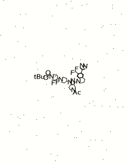 CC(=O)N1CCc2c(c(N3CCCc4cc(-c5cnn(C)c5)c(C(F)F)cc43)nn2C2CCN(C3CCN(C(=O)OC(C)(C)C)CC3(F)F)CC2)C1